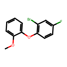 COc1ccccc1Oc1ccc(F)[c]c1Br